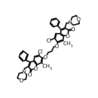 Cc1c(OCCCOc2c(Cl)cc3c(-c4ccccc4)c(CN4CCOCC4)c(=O)oc3c2C)c(Cl)cc2c(-c3ccccc3)c(CN3CCOCC3)c(=O)oc12